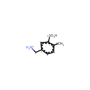 Cc1ccc(CN)cc1S(=O)(=O)O